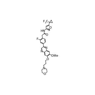 COc1cc2nc(-c3ccc(CC(=O)Nc4cc(C5(C(F)(F)F)CC5)on4)c(F)c3)cnc2cc1OCCCN1CCOCC1